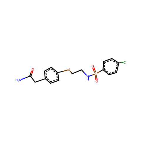 NC(=O)Cc1ccc(SCCNS(=O)(=O)c2ccc(Cl)cc2)cc1